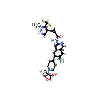 Cn1ncc(C2CC2C(=O)Nc2cc3cc(C4CCN(C5(C)COCC5O)CC4)c(Cl)cc3cn2)c1C(F)(F)F